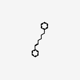 [c]1ccc(CCCCC=Cc2ccccc2)cc1